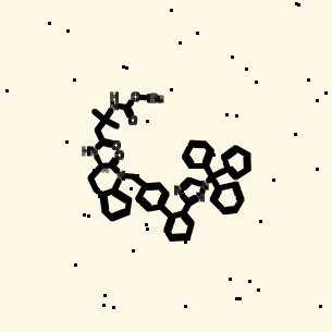 CC(C)(CC(=O)N[C@@H]1CCc2ccccc2N(Cc2ccc(-c3ccccc3-c3ncn(C(c4ccccc4)(c4ccccc4)c4ccccc4)n3)cc2)C1=O)NC(=O)OC(C)(C)C